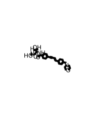 CC(C)(O)[C@H](NC(=O)C1=CC=C(C#C/C=C/C2=CC=C(CN3CCOCC3)CC2)CC1)C(=O)NO